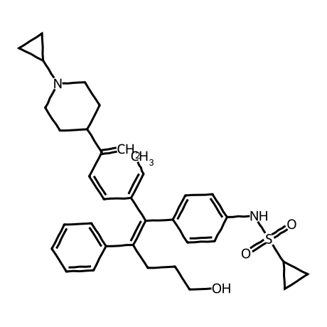 C=C(\C=C/C(=C\C)C(=C(/CCCO)c1ccccc1)/c1ccc(NS(=O)(=O)C2CC2)cc1)C1CCN(C2CC2)CC1